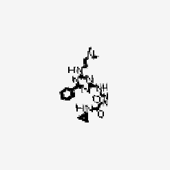 CN(C)CCNc1nc(Nc2nnc(C(=O)NC3CC3)o2)nc(-c2ccccc2)n1